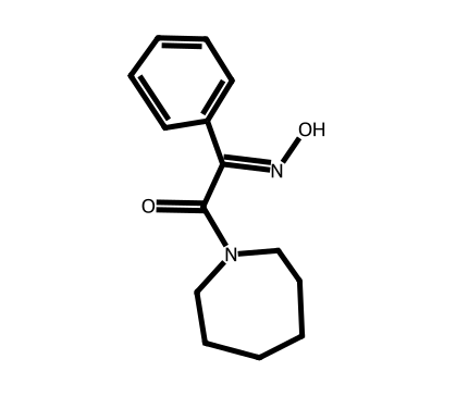 O=C(C(=NO)c1ccccc1)N1CCCCCC1